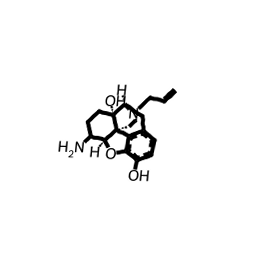 C=CCN1CC[C@]23c4c5ccc(O)c4O[C@H]2C(N)CC[C@@]3(O)[C@H]1C5